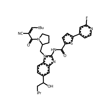 CC(C)CC(O)c1ccc2c(c1)nc(NC(=O)c1ccc(-c3ccnc(F)c3)s1)n2CC1CCCN1C(=O)C(C#N)=CC(C)(C)C